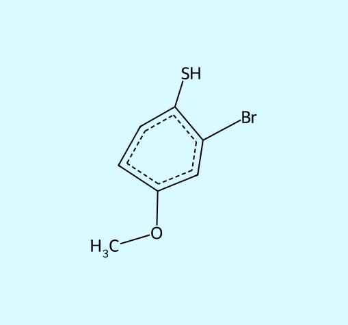 COc1ccc(S)c(Br)c1